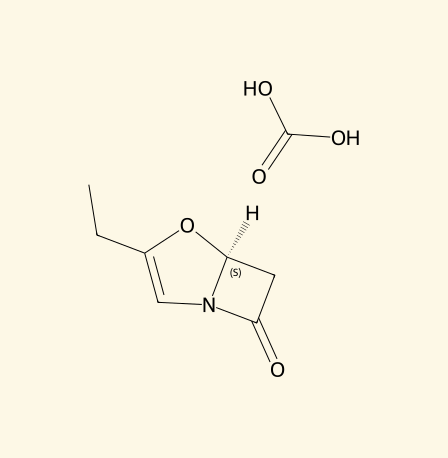 CCC1=CN2C(=O)C[C@@H]2O1.O=C(O)O